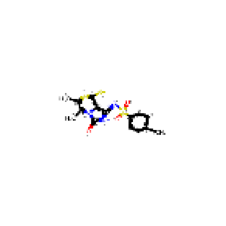 Cc1ccc(S(=O)(=O)/N=c2\[nH]c(=O)n3c(C)c(C)sc(S)c2-3)cc1